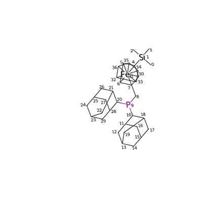 C[Si](C)(C)[C]12[CH]3[CH]4[C]5(CP(C6C7CC8CC(C7)CC6C8)C6C7CC8CC(C7)CC6C8)[CH]1[Fe]43521678[CH]2[CH]1[CH]6[CH]7[CH]28